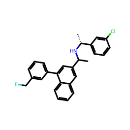 CC(N[C@H](C)c1cccc(Cl)c1)c1cc(-c2cccc(CF)c2)c2ccccc2c1